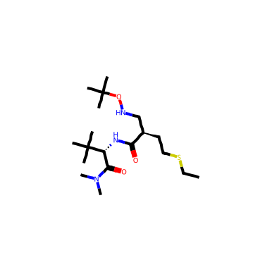 CCSCC[C@H](CNOC(C)(C)C)C(=O)N[C@H](C(=O)N(C)C)C(C)(C)C